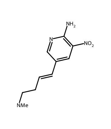 CNCC/C=C/c1cnc(N)c([N+](=O)[O-])c1